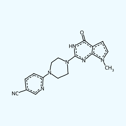 Cn1ccc2c(=O)[nH]c(N3CCN(c4ccc(C#N)cn4)CC3)nc21